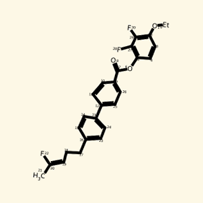 CCOc1ccc(OC(=O)c2ccc(-c3ccc(CC/C=C(/C)F)cc3)cc2)c(F)c1F